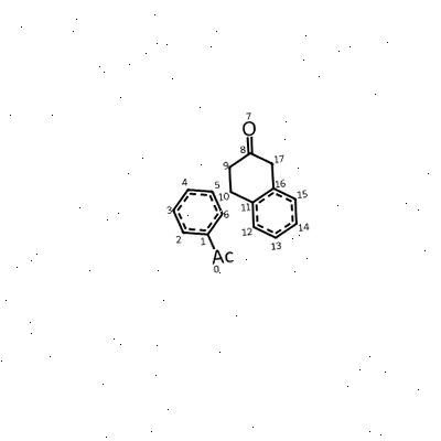 CC(=O)c1ccccc1.O=C1CCc2ccccc2C1